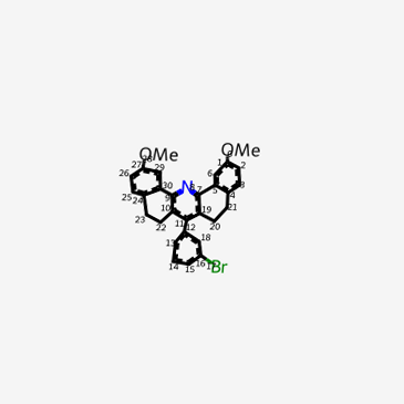 COc1ccc2c(c1)-c1nc3c(c(-c4cccc(Br)c4)c1CC2)CCc1ccc(OC)cc1-3